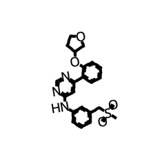 CS(=O)(=O)Cc1cccc(Nc2cc(-c3ccccc3OC3CCOC3)ncn2)c1